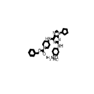 Cl.Cl.N[C@H]1CC[C@H](Nc2nc(NC3CCN(C(=O)OCc4ccccc4)CC3)c3ncn(C4CCCC4)c3n2)CC1